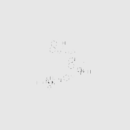 CCOC(=O)c1c(CCCOc2cccc3ccccc23)c2cccc3c2n1CCCCOCc1c-3c(COc2ccc(N3CCN([S+]([O-])N(C)C)CC3)cc2)nn1C